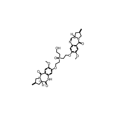 C=C1C[C@H]2C=Nc3cc(OCCP(=O)(CCO)CCOc4cc5c(cc4OC)C(=O)N4CC(=C)C[C@H]4C(=O)N5)c(OC)cc3C(=O)N2C1